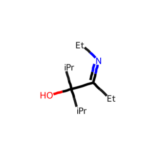 CCN=C(CC)C(O)(C(C)C)C(C)C